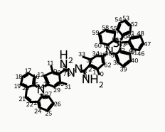 CC1=C(/C(N)=N/N=C(\N)c2c(C)cc(N3c4ccccc4C=Cc4ccccc43)cc2C)C(C)CC(N2c3ccccc3[Si](c3ccccc3)(c3ccccc3)C3C=CC=CC32)=C1